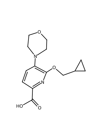 O=C(O)c1ccc(N2CCOCC2)c(OCC2CC2)n1